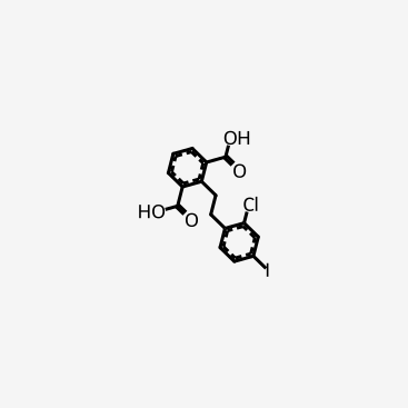 O=C(O)c1cccc(C(=O)O)c1CCc1ccc(I)cc1Cl